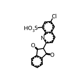 O=C1c2ccccc2C(=O)C1c1ccc2cc(Cl)cc(S(=O)(=O)O)c2n1